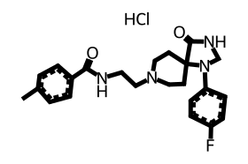 Cc1ccc(C(=O)NCCN2CCC3(CC2)C(=O)NCN3c2ccc(F)cc2)cc1.Cl